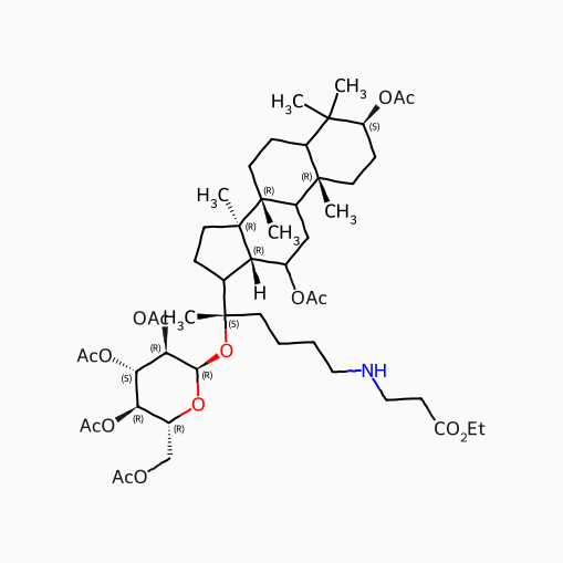 CCOC(=O)CCNCCCC[C@](C)(O[C@H]1O[C@H](COC(C)=O)[C@@H](OC(C)=O)[C@H](OC(C)=O)[C@H]1OC(C)=O)C1CC[C@]2(C)[C@@H]1C(OC(C)=O)CC1[C@@]3(C)CC[C@H](OC(C)=O)C(C)(C)C3CC[C@]12C